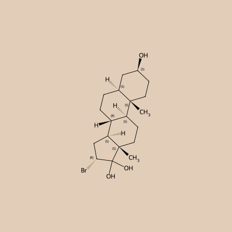 C[C@]12CC[C@H](O)C[C@@H]1CC[C@@H]1[C@@H]2CC[C@@]2(C)[C@H]1C[C@@H](Br)C2(O)O